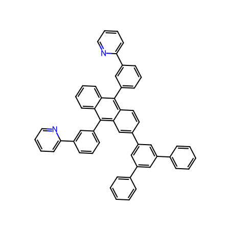 c1ccc(-c2cc(-c3ccccc3)cc(-c3ccc4c(-c5cccc(-c6ccccn6)c5)c5ccccc5c(-c5cccc(-c6ccccn6)c5)c4c3)c2)cc1